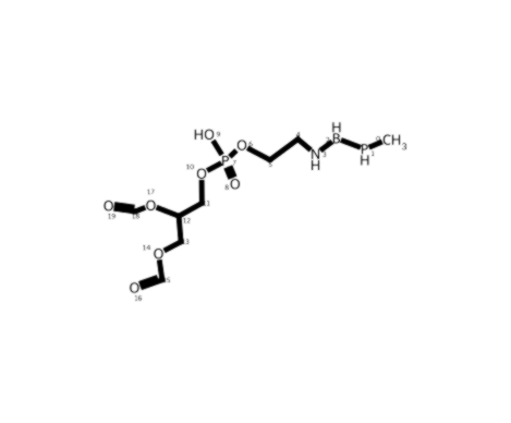 CPBNCCOP(=O)(O)OCC(COC=O)OC=O